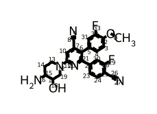 COc1ccc(-c2c(C#N)cc(N3CCC(N)C(O)C3)nc2-c2ccc(C#N)c(F)c2)cc1F